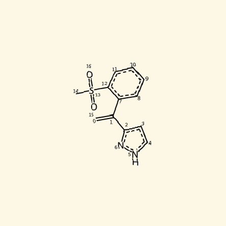 C=C(c1cc[nH]n1)c1ccccc1S(C)(=O)=O